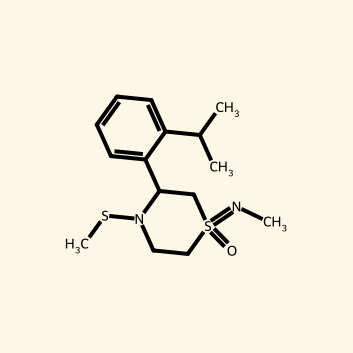 CN=S1(=O)CCN(SC)C(c2ccccc2C(C)C)C1